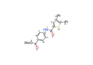 COC(=O)c1ccc(NC(=O)c2cc(C(C)C)c(C(C)C)s2)cc1